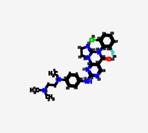 CN(C)CCN(C)c1ccc(Nc2ncc3c(n2)N2CCN=C2N(c2c(F)cccc2Cl)C3=O)cc1